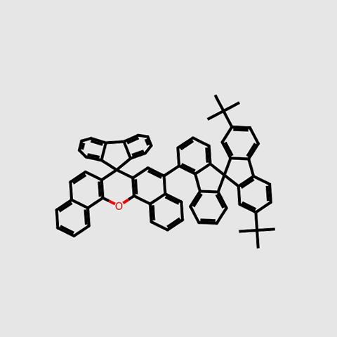 CC(C)(C)c1ccc2c(c1)C1(c3cc(C(C)(C)C)ccc3-2)c2ccccc2-c2c(-c3cc4c(c5ccccc35)Oc3c(ccc5ccccc35)C43c4ccccc4-c4ccccc43)cccc21